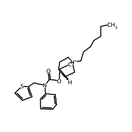 CCCCCCC[N+]12CCC(CC1)[C@@H](OC(=O)N(Cc1cccs1)c1ccccc1)C2